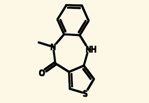 CN1C(=O)c2cscc2Nc2ccccc21